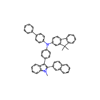 Cn1c(-c2ccc3ccccc3c2)c(-c2ccc(N(c3ccc(-c4ccccc4)cc3)c3ccc4c(c3)C(C)(C)c3ccccc3-4)cc2)c2ccccc21